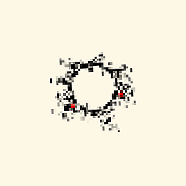 C/C=C/C[C@@H](C)C[C@H]1C(=O)N[C@H](CC)C(=O)N(C)[C@H](CSCC(C)O)C(=O)N(C)[C@@H](CC(C)(C)O)C(=O)N[C@H](C(C)C)C(=O)N(C)[C@H](CC(C)C)C(=O)N[C@H](C)C(=O)N[C@@H](C)C(=O)N(C)[C@@H](CC(C)C)C(=O)N(C)[C@H](CC(C)C)C(=O)N(C)[C@H](C(C)C)C(=O)N1C